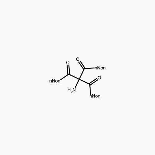 CCCCCCCCCC(=O)C(N)(C(=O)CCCCCCCCC)C(=O)CCCCCCCCC